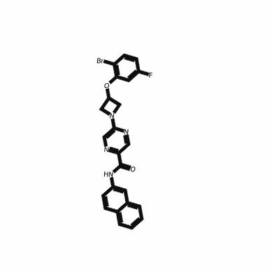 O=C(Nc1ccc2ccccc2c1)c1cnc(N2CC(Oc3cc(F)ccc3Br)C2)cn1